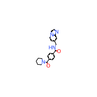 O=C(NCc1ccn2ccnc2c1)c1ccc(C(=O)N2CCCCC2)cc1